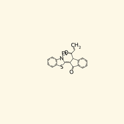 C=CC(=O)C1/C(=C2/Sc3ccccc3N2CC)C(=O)c2ccccc21